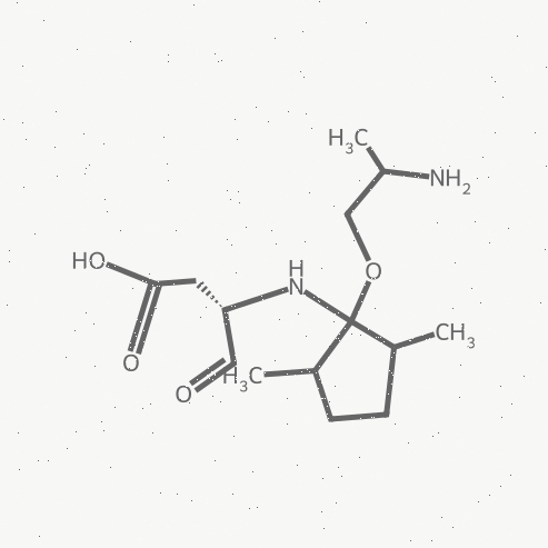 CC(N)COC1(N[C@H](C=O)CC(=O)O)C(C)CCC1C